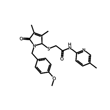 COc1ccc(CN2C(=O)C(C)=C(C)C2SCC(=O)Nc2ccc(C)cn2)cc1